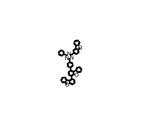 c1ccc(-c2nc(-c3ccc(-c4ccc(-c5cccc6oc7ccccc7c56)c5oc6ccccc6c45)cc3)nc(-c3ccc4oc5ccccc5c4c3)n2)cc1